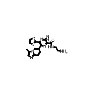 Cc1cnc2ccc(-c3nc(C(=O)NCCN)c(N)nc3-c3ncco3)cn12